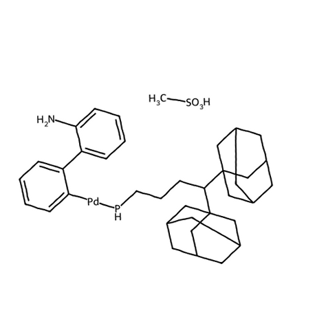 CS(=O)(=O)O.Nc1ccccc1-c1cccc[c]1[Pd][PH]CCCC(C12CC3CC(CC(C3)C1)C2)C12CC3CC(CC(C3)C1)C2